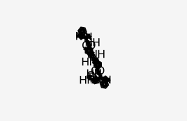 CC(=O)N[C@@H]1CCN(C(CNS(=O)(=O)c2ccc3cc(-c4cc5cc(C)c(S(=O)(=O)NCC(c6cn(C)c7ccccc67)N(C)C)cc5[nH]4)[nH]c3c2)c2cn(C)c3ccccc23)C1